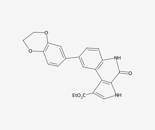 CCOC(=O)c1c[nH]c2c(=O)[nH]c3ccc(-c4ccc5c(c4)OCCO5)cc3c12